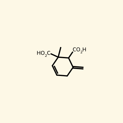 C=C1CC=CC(C)(C(=O)O)C1C(=O)O